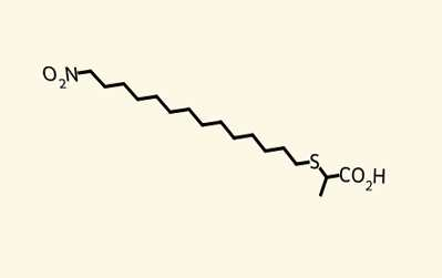 CC(SCCCCCCCCCCCCCC[N+](=O)[O-])C(=O)O